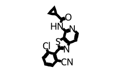 N#Cc1cccc(Cl)c1-c1nc2ccnc(NC(=O)C3CC3)c2s1